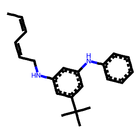 C/C=C\C=C/CNc1cc(Nc2ccccc2)cc(C(C)(C)C)c1